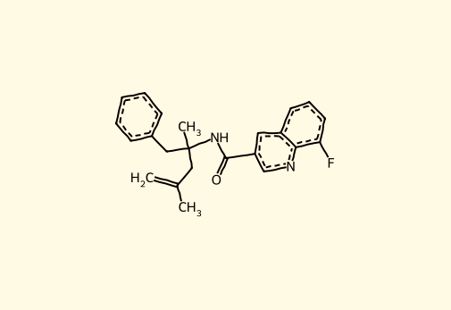 C=C(C)CC(C)(Cc1ccccc1)NC(=O)c1cnc2c(F)cccc2c1